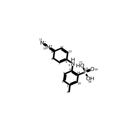 Cc1ccc(NC2=CCC(=[N+]=[N-])C=C2)c(P(=O)(O)O)c1